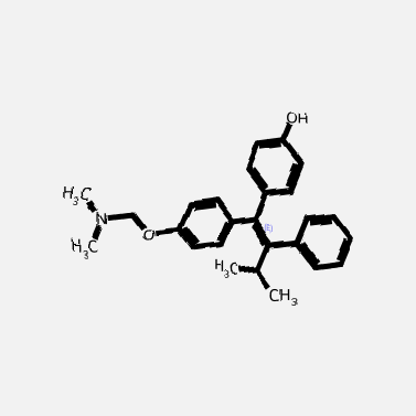 CC(C)/C(=C(/c1ccc(O)cc1)c1ccc(OCN(C)C)cc1)c1ccccc1